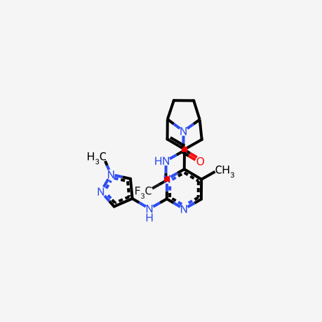 Cc1cnc(Nc2cnn(C)c2)nc1C1=CC2CCC(C1)N2C(=O)NCC(F)(F)F